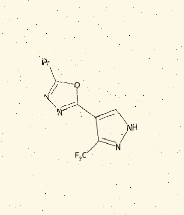 CC(C)c1nnc(-c2c[nH]nc2C(F)(F)F)o1